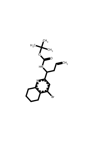 C=CCC(NC(=O)OC(C)(C)C)c1cc(Br)c2c(n1)CCCC2